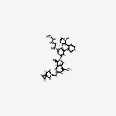 Cn1cnnc1-c1ccncc1-c1cc(NCCCC#N)nc(N2Cc3c(cc(CN4CCC5(CC5)C4)cc3C(F)(F)F)C2=O)c1